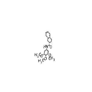 COc1cc(NC(=O)c2ccc3ccccc3c2)cc(OC)c1OC